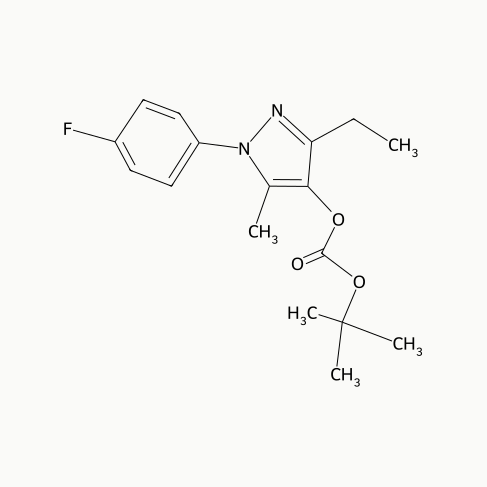 CCc1nn(-c2ccc(F)cc2)c(C)c1OC(=O)OC(C)(C)C